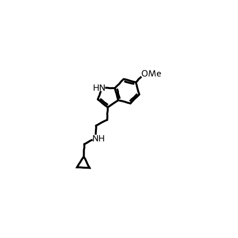 COc1ccc2c(CCNCC3CC3)c[nH]c2c1